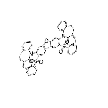 O=S(=O)(c1ccccc1)c1cc2c(cc1N1c3ccccc3CCc3ccccc31)oc1cc(N3c4ccccc4CCc4ccccc43)c(S(=O)(=O)c3ccccc3)cc12